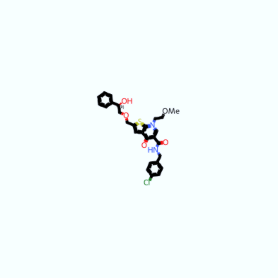 COCCn1cc(C(=O)NCc2ccc(Cl)cc2)c(=O)c2cc(COC[C@H](O)c3ccccc3)sc21